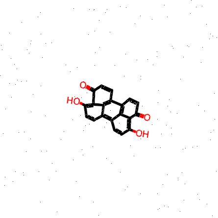 O=c1ccc2c3ccc(=O)c4c(O)ccc(c5ccc(O)c1c52)c43